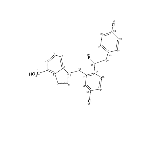 O=C(O)c1cccc2c1ccn2Cc1cc(Cl)ccc1C(F)Cc1ccc(Cl)cc1